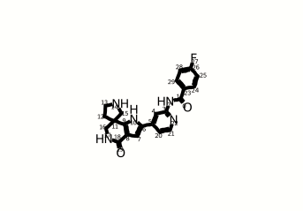 O=C(Nc1cc(-c2cc3c([nH]2)C2(CCNC2)CNC3=O)ccn1)c1ccc(F)cc1